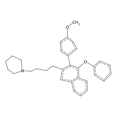 COc1ccc(-c2c(CCCCN3CCCCC3)cc3ccccc3c2Oc2ccccc2)cc1